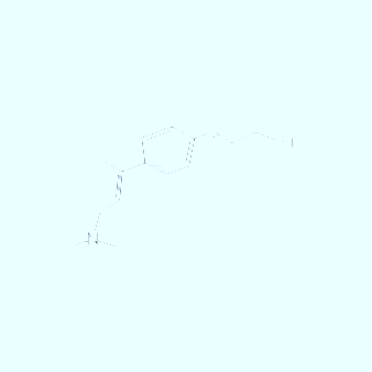 CC(=CCN(C)C)c1ccc(SCCC(C)C)cc1